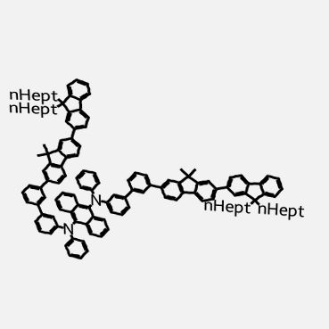 CCCCCCCC1(CCCCCCC)c2ccccc2-c2ccc(-c3ccc4c(c3)C(C)(C)c3cc(-c5cccc(-c6cccc(N(c7ccccc7)c7c8ccccc8c(N(c8ccccc8)c8cccc(-c9cccc(-c%10ccc%11c(c%10)C(C)(C)c%10cc(-c%12ccc%13c(c%12)C(CCCCCCC)(CCCCCCC)c%12ccccc%12-%13)ccc%10-%11)c9)c8)c8ccccc78)c6)c5)ccc3-4)cc21